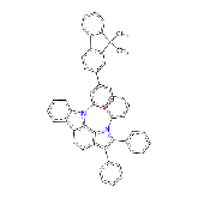 CC1(C)c2ccccc2-c2ccc(-c3cccc(-n4c5ccccc5c5ccc6c(-c7ccccc7)c(-c7ccccc7)n(-c7ccccc7)c6c54)c3)cc21